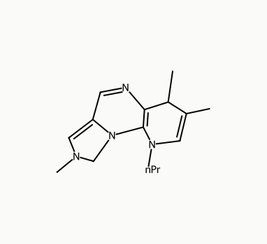 CCCN1C=C(C)C(C)C2=C1N1CN(C)C=C1C=N2